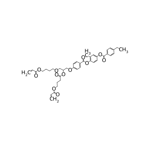 C=CC(=O)OCCCCOCC(COc1ccc(C(=O)Oc2ccc(OC(=O)c3ccc(CC)cc3)cc2C)cc1)OC(=O)CCCOC(=O)C=C